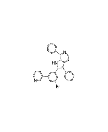 Brc1cc(-c2cccnc2)cc(C2Nc3c(ccnc3-c3ccccc3)N2c2ccccc2)c1